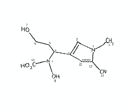 Cn1cc(C(CCO)N(O)C(=O)O)cc1C#N